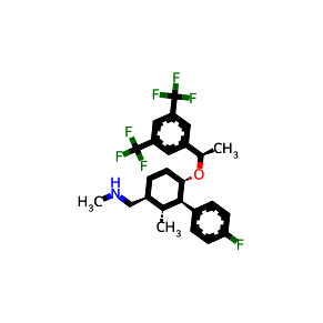 CNC[C@H]1CC[C@H](O[C@H](C)c2cc(C(F)(F)F)cc(C(F)(F)F)c2)[C@@H](c2ccc(F)cc2)[C@@H]1C